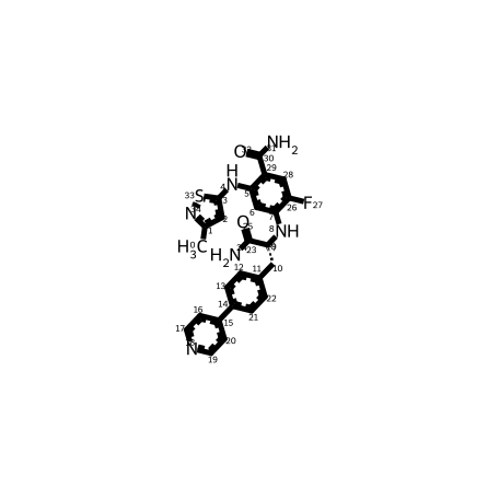 Cc1cc(Nc2cc(N[C@H](Cc3ccc(-c4ccncc4)cc3)C(N)=O)c(F)cc2C(N)=O)sn1